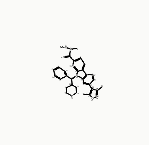 CON(C)C(=O)c1ccc2c3ncc(-c4c(C)noc4C)cc3n(C(c3ccccc3)C3CCOCC3)c2n1